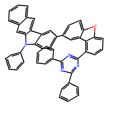 c1ccc(-c2nc(-c3ccccc3)nc(-c3cccc4oc5ccc(-c6ccc7c(c6)c6cc8ccccc8cc6n7-c6ccccc6)cc5c34)n2)cc1